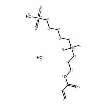 C=CC(=O)OCCC[N+](C)(C)CCCCCS(=O)(=O)O.[OH-]